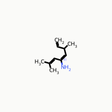 C=CC(C)/C=C(/N)C=C(C)C